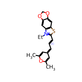 CC[n+]1c(/C=C/C=C2C=C(C)OC(C)=C2)sc2cc3c(cc21)OCO3